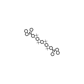 CC1(C)c2cc(N(c3ccccc3)c3cccc4ccccc34)ccc2-c2cc3c(cc21)-c1cc2c(cc1C3(C)C)-c1cc3c(cc1C2(C)C)-c1ccc(N(c2ccccc2)c2cccc4ccccc24)cc1C3(C)C